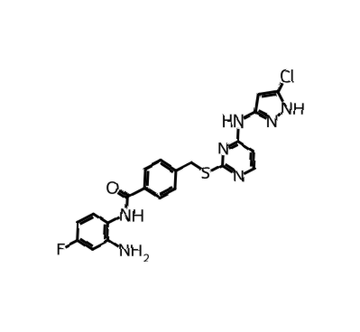 Nc1cc(F)ccc1NC(=O)c1ccc(CSc2nccc(Nc3cc(Cl)[nH]n3)n2)cc1